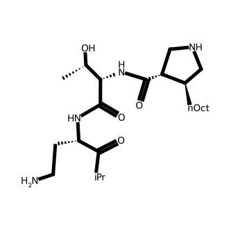 CCCCCCCC[C@@H]1CNC[C@H]1C(=O)N[C@H](C(=O)N[C@@H](CCN)C(=O)C(C)C)[C@H](C)O